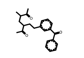 CC(=O)C(C)CC(CCc1cccc(C(=O)c2ccccc2)c1)C(C)=O